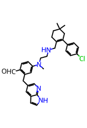 CN(CCNCC1=C(c2ccc(Cl)cc2)CC(C)(C)CC1)c1ccc(C=O)c(Cc2cnc3[nH]ccc3c2)c1